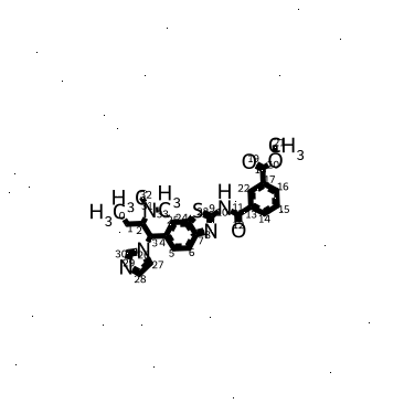 CCC(C(c1ccc2nc(NC(=O)c3cccc(C(=O)OC)c3)sc2c1)n1ccnc1)N(C)C